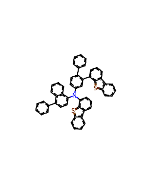 c1ccc(-c2ccc(N(c3ccc(-c4ccccc4)c4ccccc34)c3cccc4c3sc3ccccc34)cc2-c2cccc3c2sc2ccccc23)cc1